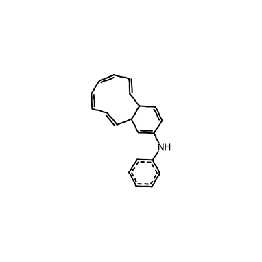 C1=CC2/C=C/C=C\C=C/C=C/C2C=C1Nc1ccccc1